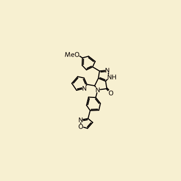 COc1ccc(-c2n[nH]c3c2C(c2ccccn2)N(c2ccc(-c4ccon4)cc2)C3=O)cc1